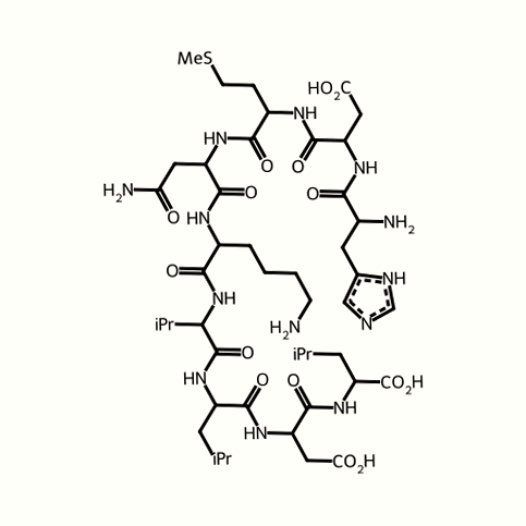 CSCCC(NC(=O)C(CC(=O)O)NC(=O)C(N)Cc1cnc[nH]1)C(=O)NC(CC(N)=O)C(=O)NC(CCCCN)C(=O)NC(C(=O)NC(CC(C)C)C(=O)NC(CC(=O)O)C(=O)NC(CC(C)C)C(=O)O)C(C)C